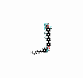 CCCCCc1ccc(C(F)(F)Oc2ccc(-c3ccc(-c4ccc(-c5cc(F)c(OC(F)(F)F)c(F)c5)c(F)c4)c(F)c3)cc2)c(F)c1